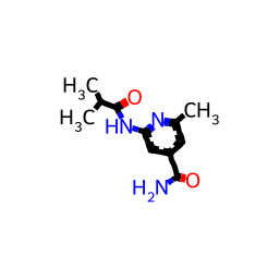 Cc1cc(C(N)=O)cc(NC(=O)C(C)C)n1